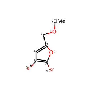 COOCc1cc(Br)c(Br)o1